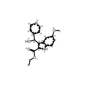 CCOC(=O)c1[nH]c2ccc(OC)cc2c1C(O)c1ccncc1